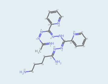 CC(=N)/N=N\C(=N\N/C(=N\N=C(/N)CCCCN)c1ccccn1)c1ccccn1